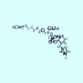 CCCCCCCCCCCCCCCCOCC(COP(=O)(O)Oc1ccccc1CN1C=CN(C)C1)OC